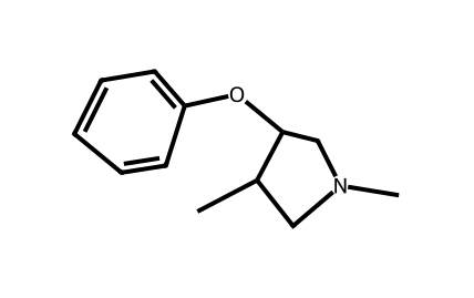 CC1CN(C)CC1Oc1ccccc1